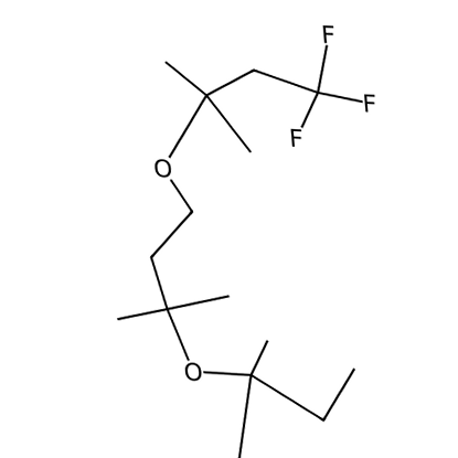 CCC(C)(C)OC(C)(C)CCOC(C)(C)CC(F)(F)F